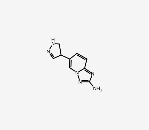 Nc1nc2ccc(C3C=NNC3)cn2n1